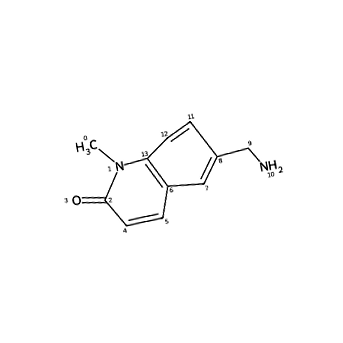 Cn1c(=O)ccc2cc(CN)ccc21